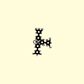 Cc1cc(C)cc(-c2ccc([Si](Cl)(c3ccc(-c4cc(C)cc(C)c4)cc3)c3ccc(-c4cc(C)cc(C)c4)cc3)cc2)c1